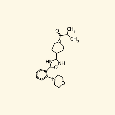 CC(C)C(=O)N1CCC(C2NOC(c3ccccc3N3CCOCC3)N2)CC1